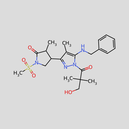 Cc1c(C2CN(S(C)(=O)=O)C(=O)C2C)nn(C(=O)C(C)(C)CO)c1NCc1ccccc1